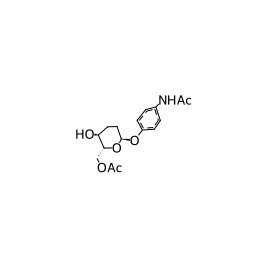 CC(=O)Nc1ccc(O[C@@H]2CC[C@H](O)[C@@H](COC(C)=O)O2)cc1